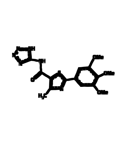 COc1cc(-c2nc(C)c(C(=O)Nc3nnn[nH]3)s2)cc(OC)c1OC